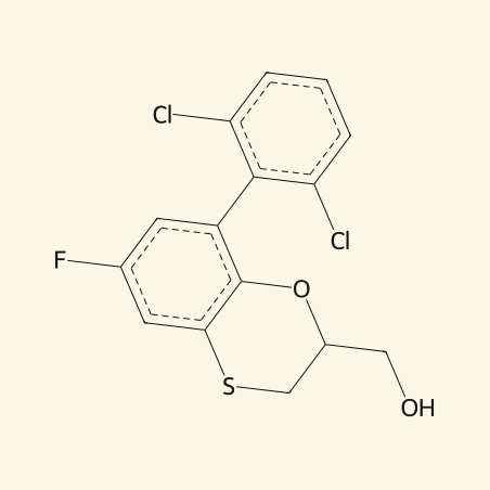 OCC1CSc2cc(F)cc(-c3c(Cl)cccc3Cl)c2O1